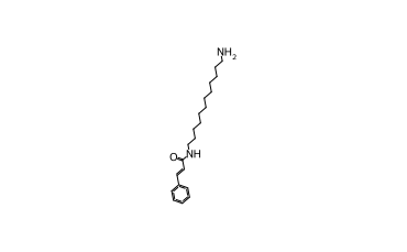 NCCCCCCCCCCCCNC(=O)/C=C/c1ccccc1